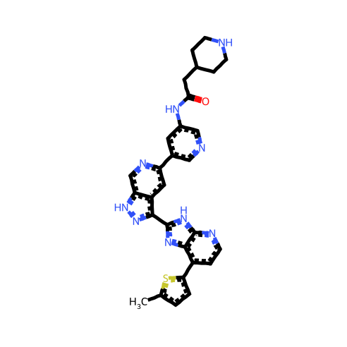 Cc1ccc(-c2ccnc3[nH]c(-c4n[nH]c5cnc(-c6cncc(NC(=O)CC7CCNCC7)c6)cc45)nc23)s1